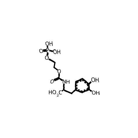 O=C(N[C@@H](Cc1ccc(O)c(O)c1)C(=O)O)OCCOP(=O)(O)O